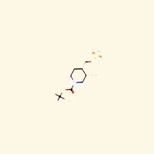 CC(C)(C)OC(=O)N1CC[C@@H](COS(C)(=O)=O)[C@H](O)C1